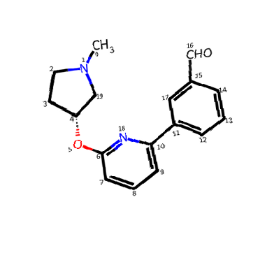 CN1CC[C@@H](Oc2cccc(-c3cccc(C=O)c3)n2)C1